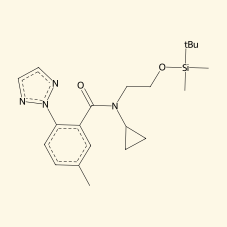 Cc1ccc(-n2nccn2)c(C(=O)N(CCO[Si](C)(C)C(C)(C)C)C2CC2)c1